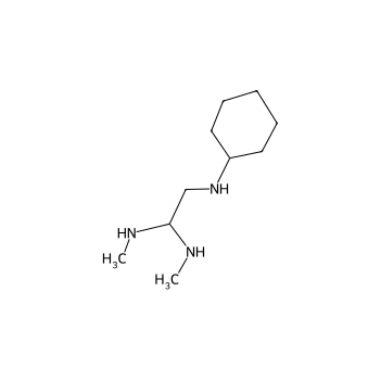 CNC(CNC1CCCCC1)NC